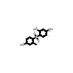 Cc1cc(O)ccc1S(=O)(=O)c1ccc(O)cc1O